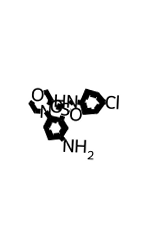 Nc1ccc(N2CCOCC2)c(S(=O)(=O)Nc2ccc(Cl)cc2)c1